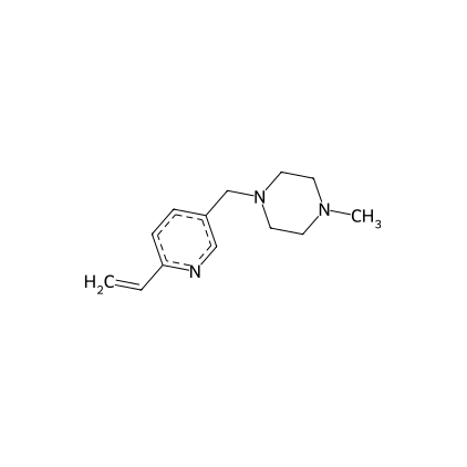 C=Cc1ccc(CN2CCN(C)CC2)cn1